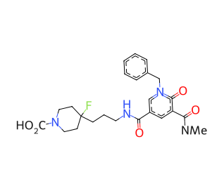 CNC(=O)c1cc(C(=O)NCCCC2(F)CCN(C(=O)O)CC2)cn(Cc2ccccc2)c1=O